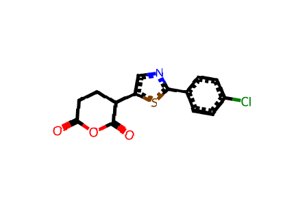 O=C1CCC(c2cnc(-c3ccc(Cl)cc3)s2)C(=O)O1